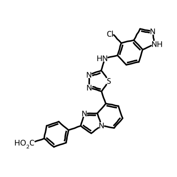 O=C(O)c1ccc(-c2cn3cccc(-c4nnc(Nc5ccc6[nH]ncc6c5Cl)s4)c3n2)cc1